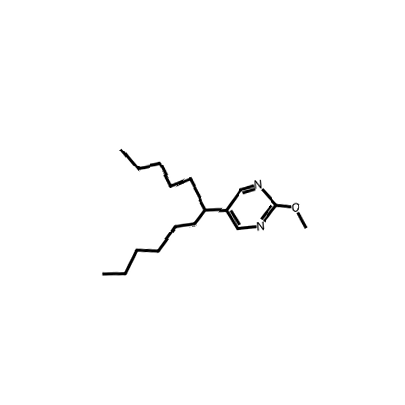 CCCCCCC(CCCCC)c1cnc(OC)nc1